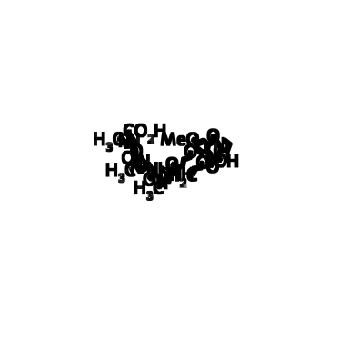 C=CCOC(=O)N1c2cc(OCCCC(=O)Nc3cn(C)c(C(=O)Nc4cn(C)c(C(=O)Oc5cn(C)c(C(=O)O)n5)n4)n3)c(OC)cc2C(=O)N2CCC[C@H]2C1O